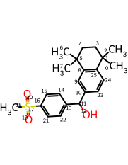 CC1(C)CCC(C)(C)c2cc(C(O)c3ccc(S(C)(=O)=O)cc3)ccc21